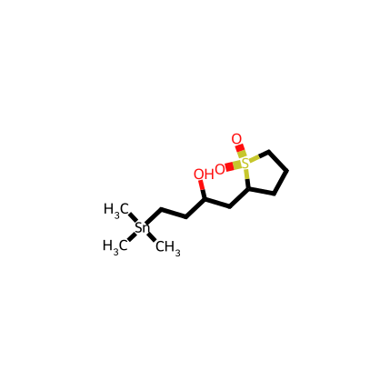 [CH3][Sn]([CH3])([CH3])[CH2]CC(O)CC1CCCS1(=O)=O